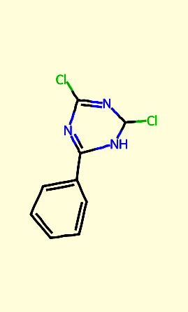 ClC1=NC(Cl)NC(c2ccccc2)=N1